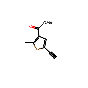 C#Cc1cc(C(=O)OC)c(C)s1